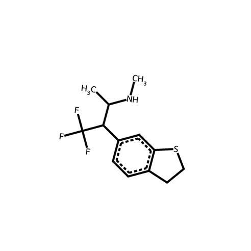 CNC(C)C(c1ccc2c(c1)SCC2)C(F)(F)F